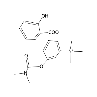 CN(C)C(=O)Oc1cccc([N+](C)(C)C)c1.O=C([O-])c1ccccc1O